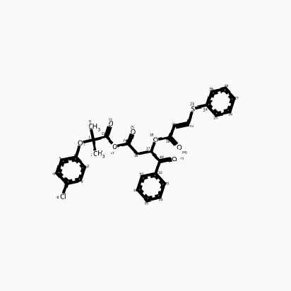 CC(C)(Oc1ccc(Cl)cc1)C(=O)OC(=O)CC(OC(=O)C=CSc1ccccc1)C(=O)c1ccccc1